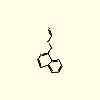 O=COCc1nccc2ccccc12